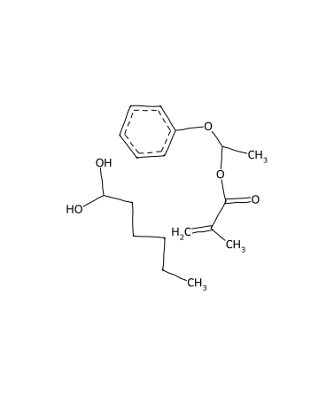 C=C(C)C(=O)OC(C)Oc1ccccc1.CCCCCC(O)O